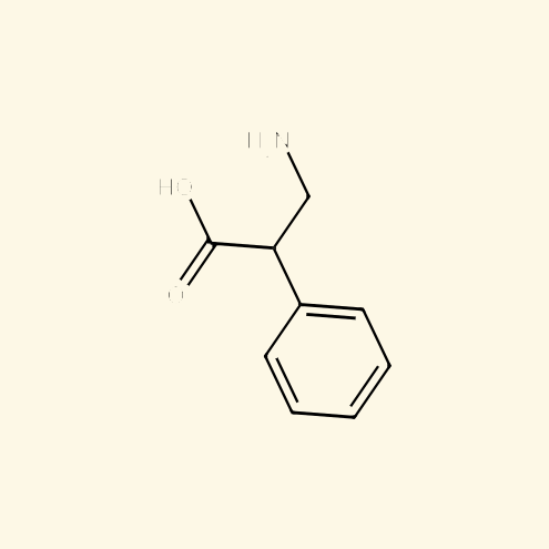 NCC(C(=O)O)c1ccccc1